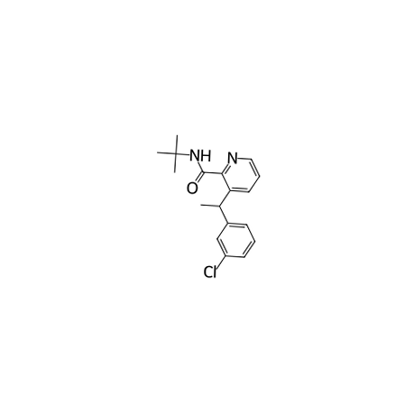 CC(c1cccc(Cl)c1)c1cccnc1C(=O)NC(C)(C)C